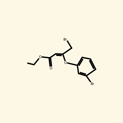 CCOC(=O)/C=C(/CBr)Oc1cccc(Br)c1